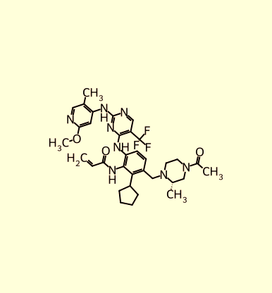 C=CC(=O)Nc1c(Nc2nc(Nc3cc(OC)ncc3C)ncc2C(F)(F)F)ccc(CN2CCN(C(C)=O)C[C@@H]2C)c1C1CCCC1